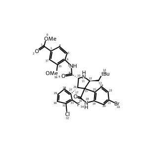 COC(=O)c1ccc(NC(=O)[C@@H]2N[C@@H](CC(C)(C)C)C3(C(=O)Nc4cc(Br)ccc43)[C@@H]2c2cccc(Cl)c2F)c(OC)c1